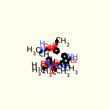 C=CCOc1ccccc1OCC(O)CNC(C)C.CC(C)C[C@H]1C(=O)N2CCC[C@H]2[C@]2(O)O[C@](NC(=O)[C@@H]3C=C4c5cccc6[nH]c(Br)c(c56)C[C@H]4N(C)C3)(C(C)C)C(=O)N12